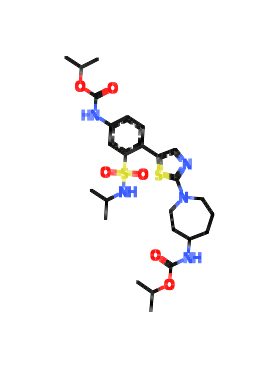 CC(C)NS(=O)(=O)c1cc(NC(=O)OC(C)C)ccc1-c1cnc(N2CCCC(NC(=O)OC(C)C)CC2)s1